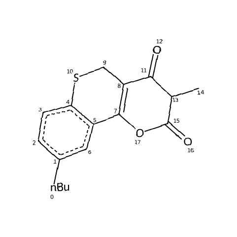 CCCCc1ccc2c(c1)C1=C(CS2)C(=O)C(C)C(=O)O1